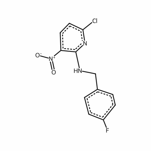 O=[N+]([O-])c1ccc(Cl)nc1NCc1ccc(F)cc1